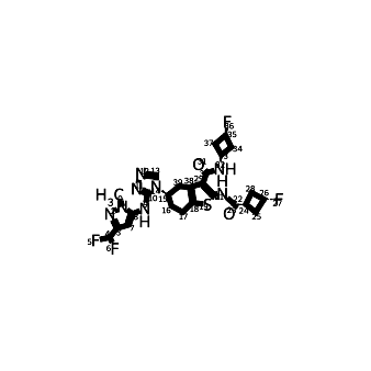 Cn1nc(C(F)F)cc1Nc1nncn1[C@H]1CCc2sc(NC(=O)[C@H]3C[C@@H](F)C3)c(C(=O)N[C@H]3C[C@H](F)C3)c2C1